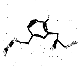 COC(=O)Cc1cc(CN=[N+]=[N-])ccc1F